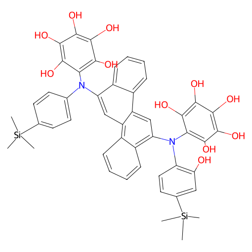 C[Si](C)(C)c1ccc(N(c2c(O)c(O)c(O)c(O)c2O)c2cc3c4ccccc4c(N(c4ccc([Si](C)(C)C)cc4O)c4c(O)c(O)c(O)c(O)c4O)cc3c3ccccc23)cc1